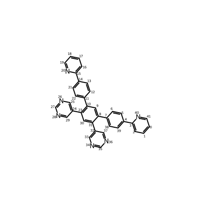 c1ccc(-c2ccc(-c3cc(-c4ccc(-c5ccccn5)cc4)c(-c4cncnc4)cc3-c3cncnc3)cc2)nc1